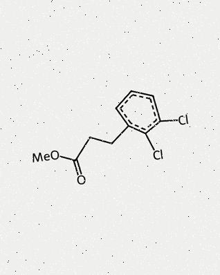 COC(=O)CCc1cccc(Cl)c1Cl